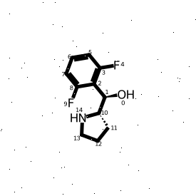 O[C@H](c1c(F)cccc1F)[C@@H]1CCCN1